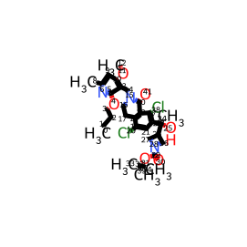 CCCCOc1nc(C)cc(OC)c1CN1CCc2c(Cl)cc(C(C)(O)C3CN(C(=O)OC(C)(C)C)C3)c(Cl)c2C1=O